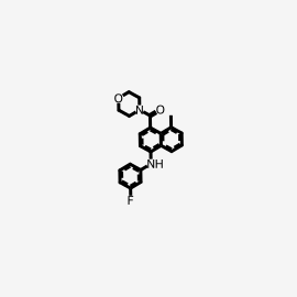 Cc1cccc2c(Nc3cccc(F)c3)ccc(C(=O)N3CCOCC3)c12